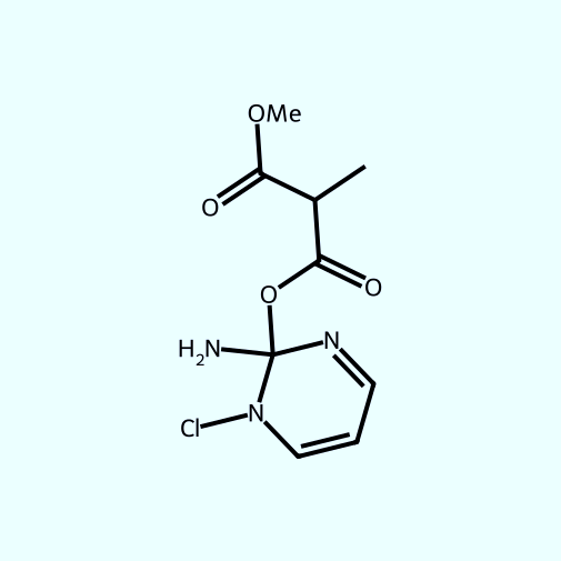 COC(=O)C(C)C(=O)OC1(N)N=CC=CN1Cl